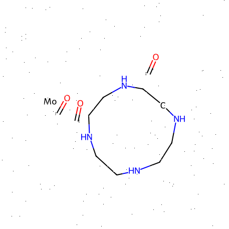 C1CNCCNCCNCCN1.[C]=O.[C]=O.[C]=O.[Mo]